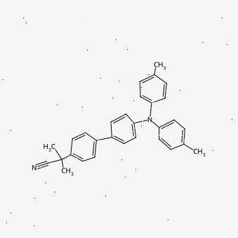 Cc1ccc(N(c2ccc(C)cc2)c2ccc(-c3ccc(C(C)(C)C#N)cc3)cc2)cc1